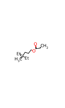 C=CC(=O)OCCC[Si](C)(CC)CC